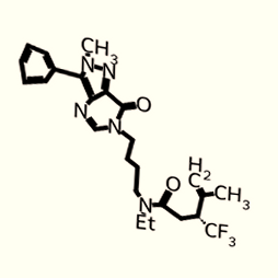 C=C(C)[C@@H](CC(=O)N(CC)CCCCn1cnc2c(-c3ccccc3)n(C)nc2c1=O)C(F)(F)F